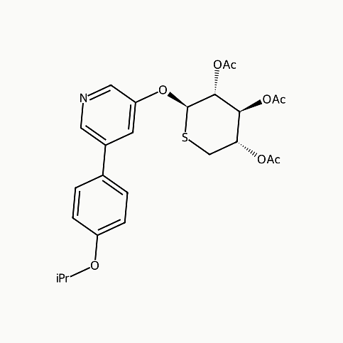 CC(=O)O[C@@H]1[C@@H](OC(C)=O)[C@H](OC(C)=O)CS[C@H]1Oc1cncc(-c2ccc(OC(C)C)cc2)c1